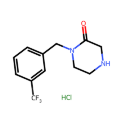 Cl.O=C1CNCCN1Cc1cccc(C(F)(F)F)c1